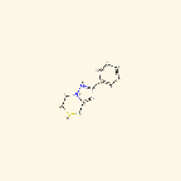 c1ccc(-c2cc3n(n2)CCSC3)cc1